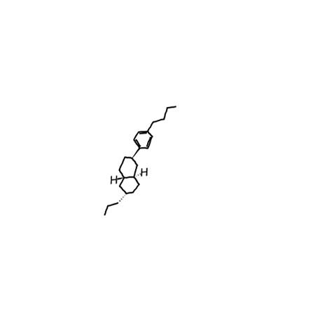 CCCCc1ccc([C@@H]2CC[C@H]3C[C@@H](CCC)CC[C@@H]3C2)cc1